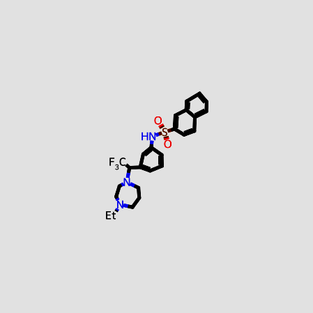 CCN1CCCN(C(c2cccc(NS(=O)(=O)c3ccc4ccccc4c3)c2)C(F)(F)F)CC1